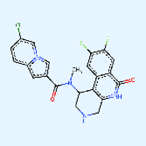 CN(C(=O)c1cc2ccc(Cl)cn2c1)C1CNCc2[nH]c(=O)c3cc(F)c(F)cc3c21